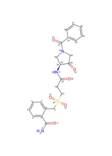 NC(=O)c1ccccc1CS(=O)(=O)C[CH]C(=O)N[C@H]1CN(C(=O)c2ccccc2)CC1=O